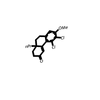 CCCC12CCC(=O)C=C1c1c(cc(OC)c(Cl)c1Cl)CC2